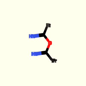 CCC(=N)OC(=N)C(C)C